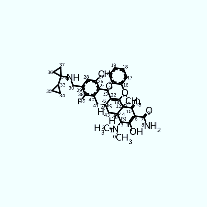 CN(C)[C@@H]1C(O)=C(C(N)=O)C(=O)[C@@]2(C)C(Oc3ccccc3)=C3C(=O)c4c(O)cc(CNC5(C6CC6)CC5)c(F)c4C[C@H]3C[C@@H]12